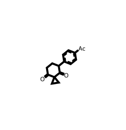 CC(=O)c1ccc(C2CCC(=O)C3(CC3)C2=O)cc1